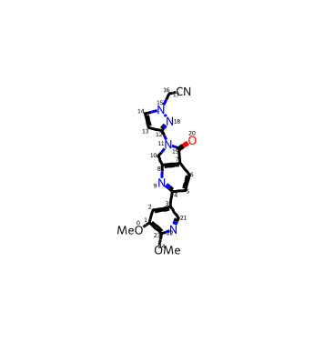 COc1cc(-c2ccc3c(n2)CN(c2ccn(CC#N)n2)C3=O)cnc1OC